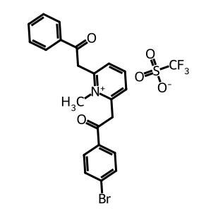 C[n+]1c(CC(=O)c2ccccc2)cccc1CC(=O)c1ccc(Br)cc1.O=S(=O)([O-])C(F)(F)F